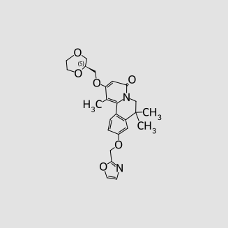 Cc1c(OC[C@@H]2COCCO2)cc(=O)n2c1-c1ccc(OCc3ncco3)cc1C(C)(C)C2